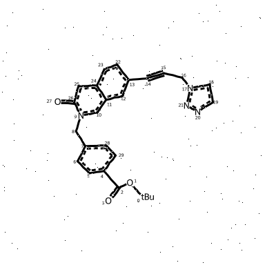 CC(C)(C)OC(=O)c1ccc(Cn2cc3cc(C#CCn4ccnn4)ccc3cc2=O)cc1